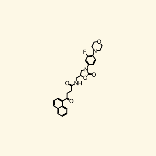 O=C(CCC(=O)c1cccc2ccccc12)NCC1CN(c2ccc(N3CCOCC3)c(F)c2)C(=O)O1